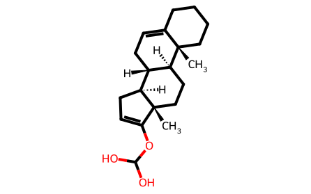 C[C@]12CCCCC1=CC[C@@H]1[C@@H]2CC[C@]2(C)C(OC(O)O)=CC[C@@H]12